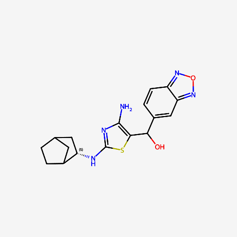 Nc1nc(N[C@H]2CC3CCC2C3)sc1C(O)c1ccc2nonc2c1